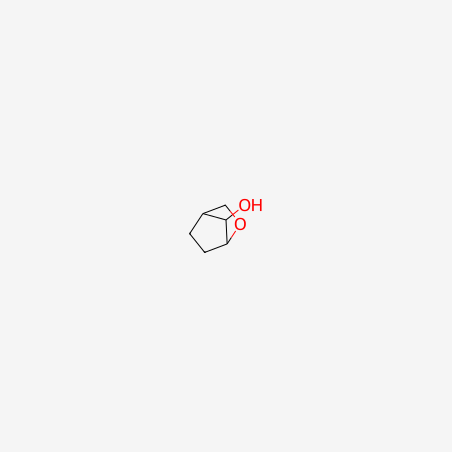 OC1C2CCC1OC2